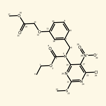 CCOC(=O)N(Cc1cccc(OCC(=O)OC)c1)c1nc(SC)nc(Cl)c1[N+](=O)[O-]